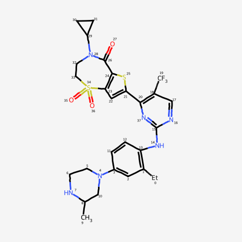 CCc1cc(N2CCNC(C)C2)ccc1Nc1ncc(C(F)(F)F)c(-c2cc3c(s2)C(=O)N(C2CC2)CCS3(=O)=O)n1